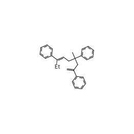 C=C(CC(C)(CC=C(CC)c1ccccc1)c1ccccc1)c1ccccc1